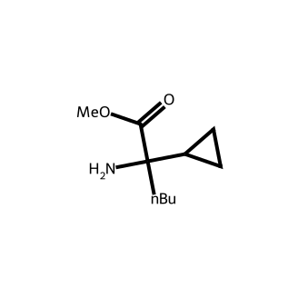 CCCCC(N)(C(=O)OC)C1CC1